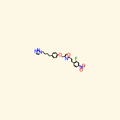 O=[N+]([O-])c1ccc(C=Cc2nc(COc3ccc(CCCCn4ccnn4)cc3)co2)c(F)c1